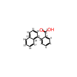 O=C(O)c1ccccc1-c1cccc2[c]cccc12